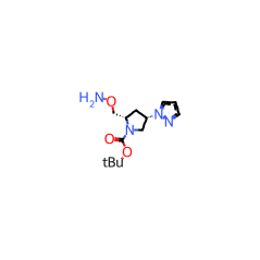 CC(C)(C)OC(=O)N1C[C@@H](n2cccn2)C[C@H]1CON